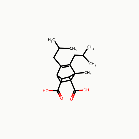 CC(C)CC1=C(CC(C)C)C2(C)CCC1C(C(=O)O)C2C(=O)O